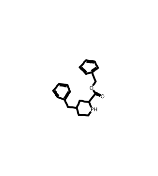 O=C(OCc1ccccc1)C1CC(Cc2ccccc2)CCP1